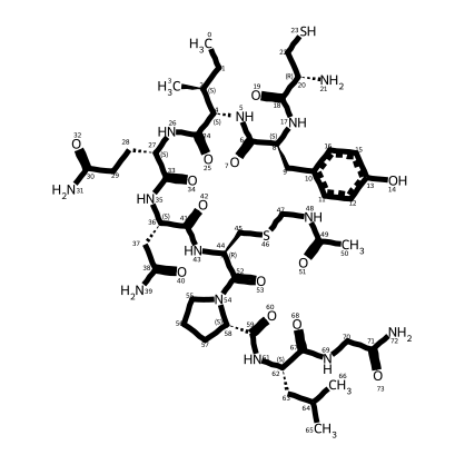 CC[C@H](C)[C@H](NC(=O)[C@H](Cc1ccc(O)cc1)NC(=O)[C@@H](N)CS)C(=O)N[C@@H](CCC(N)=O)C(=O)N[C@@H](CC(N)=O)C(=O)N[C@@H](CSCNC(C)=O)C(=O)N1CCC[C@H]1C(=O)N[C@@H](CC(C)C)C(=O)NCC(N)=O